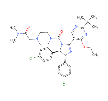 CCOc1nc(C(C)(C)C)ncc1C1=N[C@@H](c2ccc(Cl)cc2)[C@@H](c2ccc(Cl)cc2)N1C(=O)N1CCN(CC(=O)N(C)C)CC1